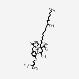 CCCCCCCC(O)CCCCCC/C=C/[C@H](C(=O)N[C@@H](Cc1ccc(OCC=C(C)C)cc1)C(=O)O)[C@@](O)(CC(=O)O)C(=O)O